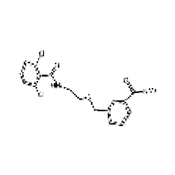 CNC(=O)c1cccc(CSCCNC(=O)c2c(Cl)cccc2Cl)c1